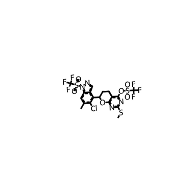 CSc1nc2c(c(OS(=O)(=O)C(F)(F)F)n1)CCC(c1c(Cl)c(C)cc3c1cnn3S(=O)(=O)C(F)(F)F)O2